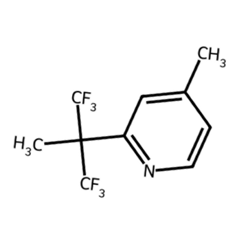 Cc1ccnc(C(C)(C(F)(F)F)C(F)(F)F)c1